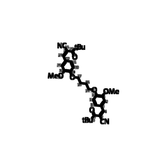 COc1cc(C=C(C#N)C(=O)C(C)(C)C)ccc1OCCCCOc1ccc(C=C(C#N)C(=O)C(C)(C)C)cc1OC